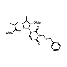 COC(=O)C(C)C[C@H]1O[C@@H](n2ccc(=O)n(COCc3ccccc3)c2=O)[C@@H](OC)C1C